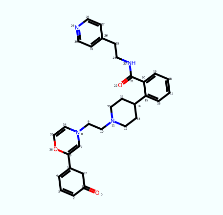 O=C1C=CC=C(C2=CN(CCN3CCC(c4ccccc4C(=O)NCCc4ccncc4)CC3)C=CO2)C1